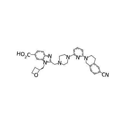 N#Cc1ccc2c(c1)CCN(c1cccc(N3CCN(Cc4nc5ccc(C(=O)O)cc5n4C[C@@H]4CCO4)CC3)n1)C2